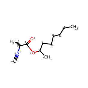 [C-]#[N+]C(=C)C(=O)OC(C)CCCCCC